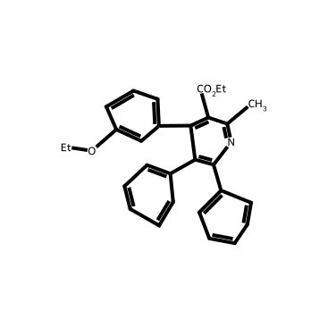 CCOC(=O)c1c(C)nc(-c2ccccc2)c(-c2ccccc2)c1-c1cccc(OCC)c1